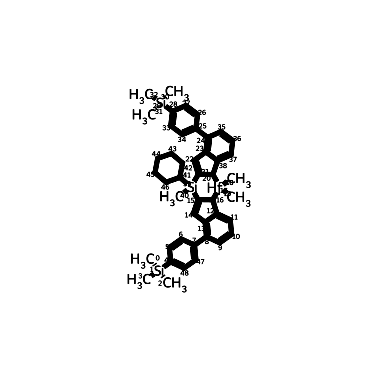 C[Si](C)(C)c1ccc(-c2cccc3c2C=C2[CH]3[Hf]([CH3])([CH3])[CH]3C(=Cc4c(-c5ccc([Si](C)(C)C)cc5)cccc43)[Si]2(C)C2CCCCC2)cc1